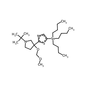 CCC[CH2][Sn]([CH2]CCC)([CH2]CCC)[c]1cnc(C2(OCOC)CCN(C(C)(C)C)C2)s1